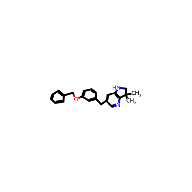 CC1(C)CNc2cc(Cc3cccc(OCc4ccccc4)c3)cnc21